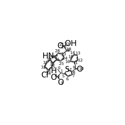 CC(C(=O)O)c1ccc(C(=O)c2ccccc2)s1.CC(C(=O)O)c1ccc2c(c1)[nH]c1ccc(Cl)cc12